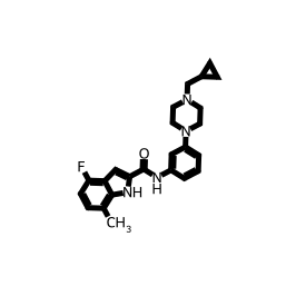 Cc1ccc(F)c2cc(C(=O)Nc3cccc(N4CCN(CC5CC5)CC4)c3)[nH]c12